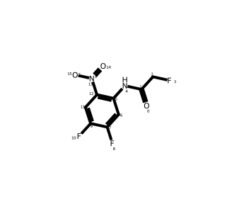 O=C(CF)Nc1cc(F)c(F)cc1[N+](=O)[O-]